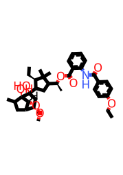 CCOc1ccc(C(=O)Nc2ccccc2C(=O)O[C@@H](C)C2CC([C@@]3(O)C[C@H](OC)C4CC(C)[C@]3(O)[C@H]4OC)[C@@H](CC)C2(C)C)cc1